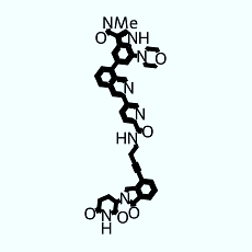 CNC(=O)c1c[nH]c2c(N3CCOCC3)cc(-c3cccc4cc(-c5ccc(C(=O)NCCC#Cc6cccc7c6CN(C6CCC(=O)NC6=O)C7=O)nc5)ncc34)cc12